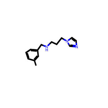 Cc1cccc(CNCCCn2ccnc2)c1